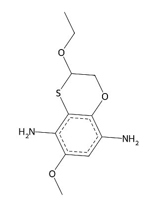 CCOC1COc2c(N)cc(OC)c(N)c2S1